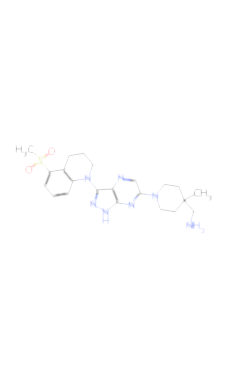 CC1(CN)CCN(c2cnc3c(N4CCCc5c4cccc5S(C)(=O)=O)n[nH]c3n2)CC1